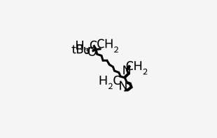 C=CC(C)(CCCCCCCCC(=C)/C(=C\N=C)c1ccccn1)OC(C)(C)C